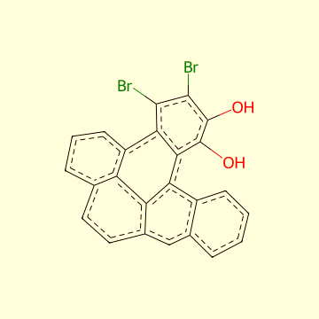 Oc1c(Br)c(Br)c2c3cccc4ccc5cc6ccccc6c(c2c1O)c5c43